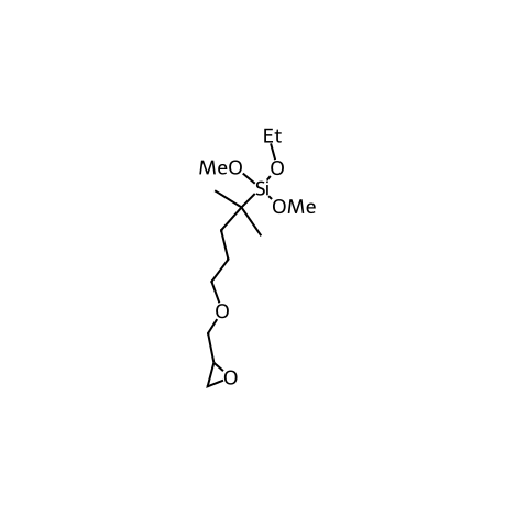 CCO[Si](OC)(OC)C(C)(C)CCCOCC1CO1